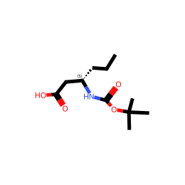 CCC[C@@H](CC(=O)O)NC(=O)OC(C)(C)C